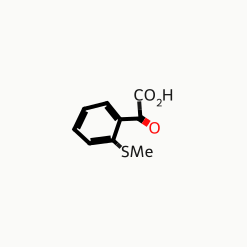 CSc1ccccc1C(=O)C(=O)O